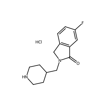 Cl.O=C1c2cc(F)ccc2CN1CC1CCNCC1